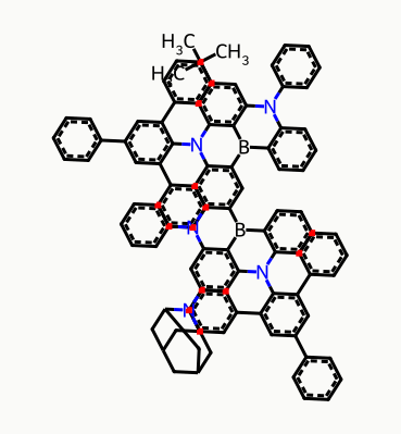 CC(C)(C)c1cc2c3c(c1)N(c1c(-c4ccccc4)cc(-c4ccccc4)cc1-c1ccccc1)c1cc4c(cc1B3c1ccccc1N2c1ccccc1)B1c2ccccc2N(c2c(-c3ccccc3)cc(-c3ccccc3)cc2-c2ccccc2)c2cc(N3C5CC6CC(C5)CC3C6)cc(c21)N4c1ccccc1